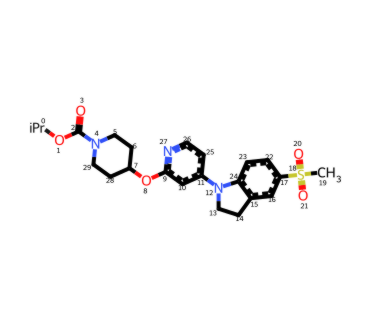 CC(C)OC(=O)N1CCC(Oc2cc(N3CCc4cc(S(C)(=O)=O)ccc43)ccn2)CC1